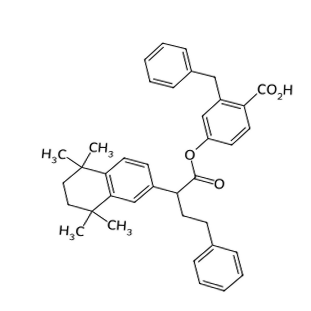 CC1(C)CCC(C)(C)c2cc(C(CCc3ccccc3)C(=O)Oc3ccc(C(=O)O)c(Cc4ccccc4)c3)ccc21